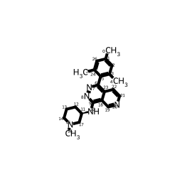 Cc1cc(C)c(-c2nnc(N[C@@H]3CCCN(C)C3)c3cnccc23)c(C)c1